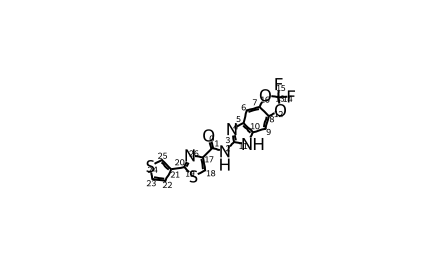 O=C(Nc1nc2cc3c(cc2[nH]1)OC(F)(F)O3)c1csc(-c2ccsc2)n1